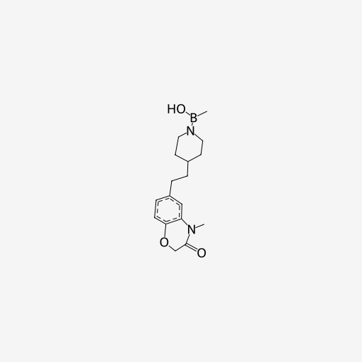 CB(O)N1CCC(CCc2ccc3c(c2)N(C)C(=O)CO3)CC1